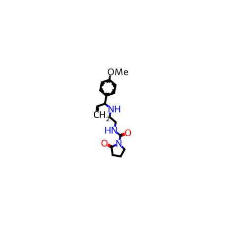 C=CC(NCCNC(=O)N1CCCC1=O)c1ccc(OC)cc1